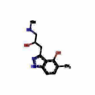 Cc1ccc2[nH]nc(CC(O)CNC(C)(C)C)c2c1O